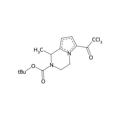 CC1c2ccc(C(=O)C(Cl)(Cl)Cl)n2CCN1C(=O)OC(C)(C)C